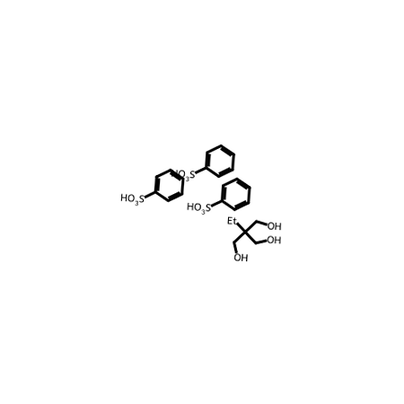 CCC(CO)(CO)CO.O=S(=O)(O)c1ccccc1.O=S(=O)(O)c1ccccc1.O=S(=O)(O)c1ccccc1